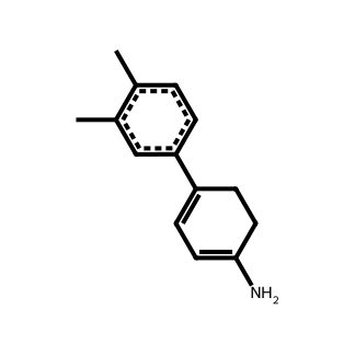 Cc1ccc(C2=CC=C(N)CC2)cc1C